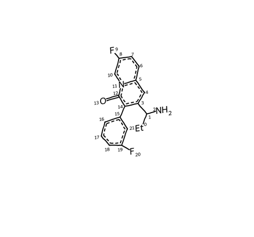 CCC(N)c1cc2ccc(F)cn2c(=O)c1-c1cccc(F)c1